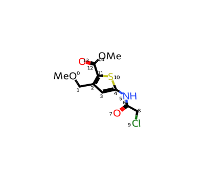 COCc1cc(NC(=O)CCl)sc1C(=O)OC